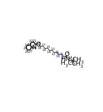 CC(C)(C)CNC(=O)/C=C/C=C/CCCCCCCOc1ccc2ccccc2n1